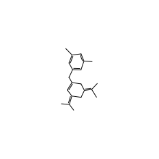 CC(C)=C1C=C(Cc2cc(C)cc(C)c2)CC(=C(C)C)C1